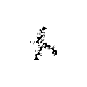 C=CC1CC1(NC(=O)[C@@H]1C/C(=C/NC(=O)c2ccsc2)CN1C(=O)CNC(=O)CC1CC1)C(=O)NS(=O)(=O)C1CC1